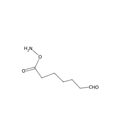 NOC(=O)CCCCCC=O